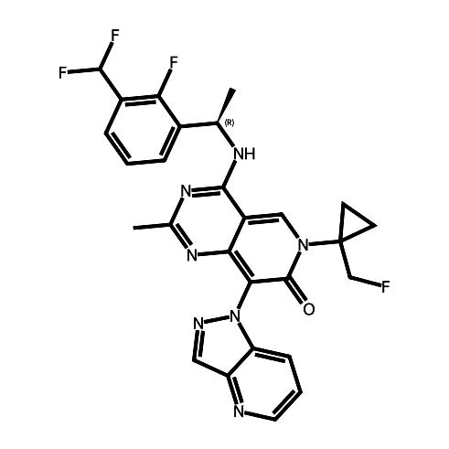 Cc1nc(N[C@H](C)c2cccc(C(F)F)c2F)c2cn(C3(CF)CC3)c(=O)c(-n3ncc4ncccc43)c2n1